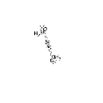 CC(C)(C)O[SiH2]CCCSSSSCCC[SiH2]OC(C)(C)C